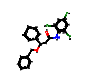 O=C(CC(OCc1ccccc1)c1ccccc1)Nc1c(F)cc(F)cc1F